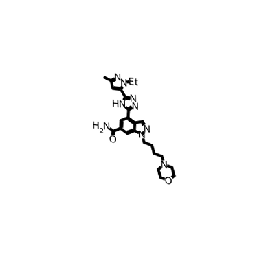 CCn1nc(C)cc1-c1nnc(-c2cc(C(N)=O)cc3c2cnn3CCCCN2CCOCC2)[nH]1